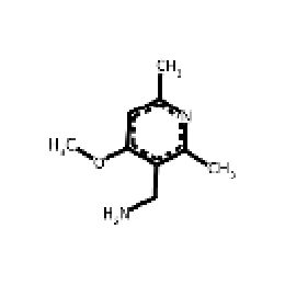 COc1cc(C)nc(C)c1CN